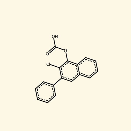 O=C(O)Oc1c(Cl)c(-c2ccccc2)cc2ccccc12